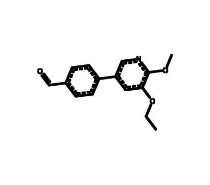 CCOc1cc(-c2ccc(C=O)cc2)cnc1OC